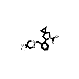 CC1(C)COB(Cc2ccccc2C2CC3(CC3)CN2C(=O)O)OC1